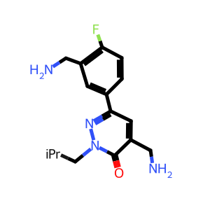 CC(C)Cn1nc(-c2ccc(F)c(CN)c2)cc(CN)c1=O